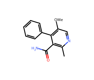 COc1cnc(C)c(C(N)=O)c1-c1ccccc1